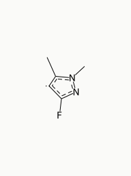 Cc1[c]c(F)nn1C